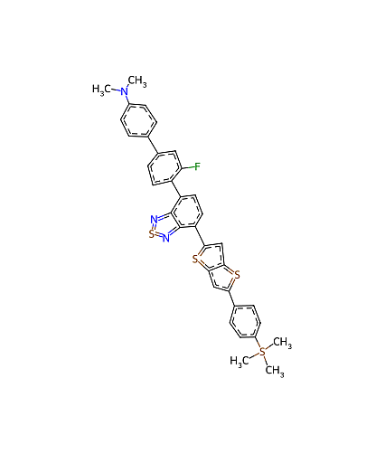 CN(C)c1ccc(-c2ccc(-c3ccc(-c4cc5sc(-c6ccc(S(C)(C)C)cc6)cc5s4)c4nsnc34)c(F)c2)cc1